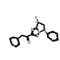 O=C(Cc1ccccc1)c1nc2n(n1)[C@H](c1ccccc1)C[C@@H]2F